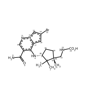 CC1(C)[C@H](Nc2c(C(N)=O)cnn3cc(Br)cc23)CC[C@]1(C)CNC(=O)O